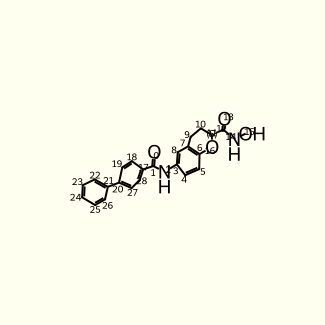 O=C(Nc1ccc2c(c1)CC[C@@H](C(=O)NO)O2)c1ccc(-c2ccccc2)cc1